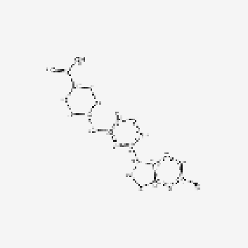 O=C(O)N1CCC(Oc2cc(N3CCc4cc(Br)ccc43)ncn2)CC1